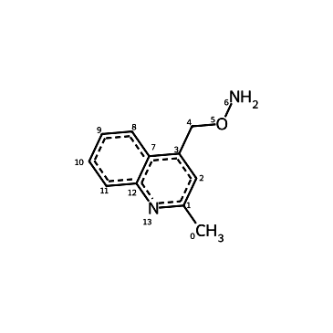 Cc1cc(CON)c2ccccc2n1